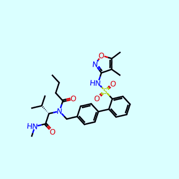 CCCC(=O)N(Cc1ccc(-c2ccccc2S(=O)(=O)Nc2noc(C)c2C)cc1)[C@H](C(=O)NC)C(C)C